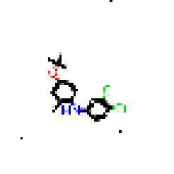 Cc1cc(OC(C)(C)C)ccc1Nc1ccc(Cl)c(Cl)c1